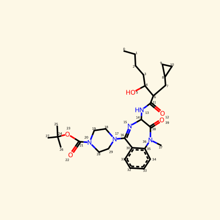 CCCCC(O)C(CC1CC1)C(=O)NC1N=C(N2CCN(C(=O)OC(C)(C)C)CC2)c2ccccc2N(C)C1=O